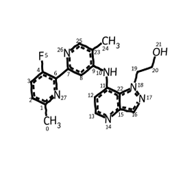 Cc1ccc(F)c(-c2cc(Nc3ccnc4cnn(CCO)c34)c(C)cn2)n1